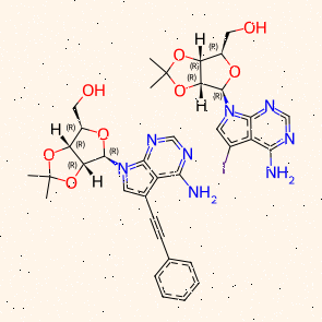 CC1(C)O[C@@H]2[C@H](O1)[C@@H](CO)O[C@H]2n1cc(C#Cc2ccccc2)c2c(N)ncnc21.CC1(C)O[C@@H]2[C@H](O1)[C@@H](CO)O[C@H]2n1cc(I)c2c(N)ncnc21